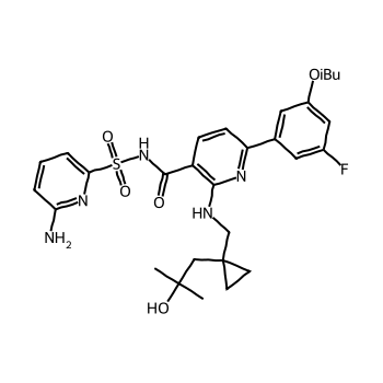 CC(C)COc1cc(F)cc(-c2ccc(C(=O)NS(=O)(=O)c3cccc(N)n3)c(NCC3(CC(C)(C)O)CC3)n2)c1